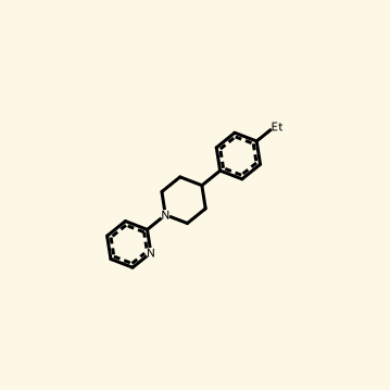 CCc1ccc(C2CCN(c3ccccn3)CC2)cc1